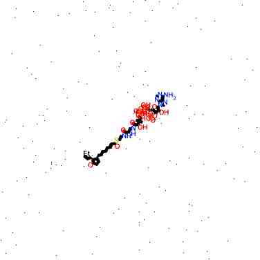 CC/C=C\C[C@@H]1C(=O)CC[C@@H]1CCCCC/C=C/C(=O)SCCNC(=O)CCNC(=O)C(O)C(C)(C)COP(=O)(O)OP(=O)(O)OC[C@H]1O[C@@H](n2cnc3c(N)ncnc32)[C@H](O)[C@@H]1OP(=O)(O)O